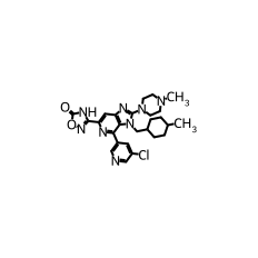 CC1CCC(Cn2c(N3CCN(C)CC3)nc3cc(-c4noc(=O)[nH]4)nc(-c4cncc(Cl)c4)c32)CC1